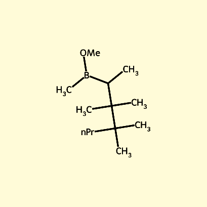 CCCC(C)(C)C(C)(C)C(C)B(C)OC